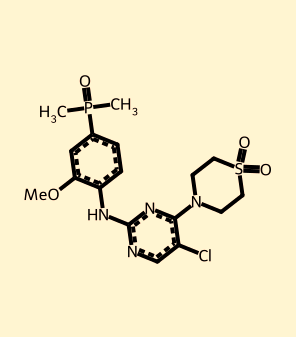 COc1cc(P(C)(C)=O)ccc1Nc1ncc(Cl)c(N2CCS(=O)(=O)CC2)n1